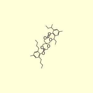 CCCCc1cc(C)cc(CCCC)c1OP1COC2(CO1)COP(Oc1c(C(C)CC)cc(C)cc1C(C)CC)OC2